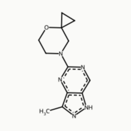 Cc1n[nH]c2cnc(N3CCOC4(CC4)C3)nc12